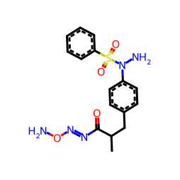 CC(Cc1ccc(N(N)S(=O)(=O)c2ccccc2)cc1)C(=O)N=NON